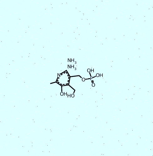 Cc1ncc(COP(=O)(O)O)c(CO)c1O.N.N